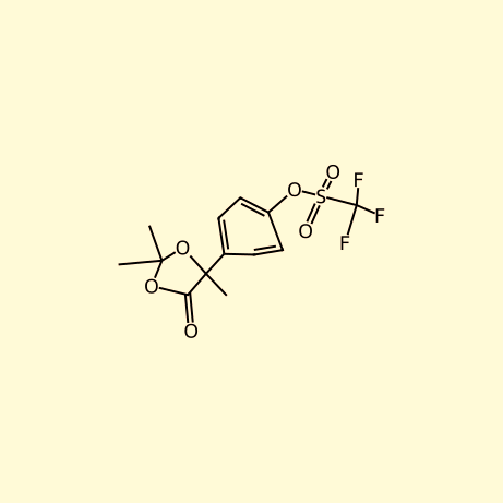 CC1(C)OC(=O)C(C)(c2ccc(OS(=O)(=O)C(F)(F)F)cc2)O1